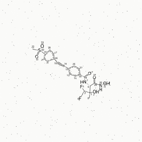 CC(O)(C(F)F)[C@H](NC(=O)c1ccc(C#Cc2ccc(S(C)(=O)=O)cc2)cc1)C(=O)NO